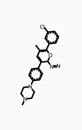 CC1=C(c2cccc(Cl)c2)OC(N=[N])C(c2ccc(N3CCN(C)CC3)cc2)=C1